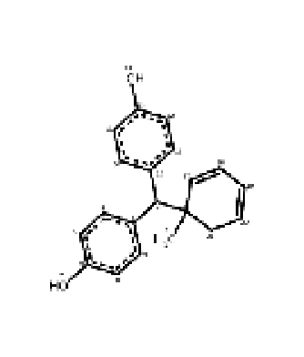 CC1(C(c2ccc(O)cc2)c2ccc(O)cc2)C=CC=CC1